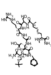 CN[C@@H](CSSC[C@H](C)C(=O)NC(CO)C(=O)N[C@@H](CCCNC(=N)N)C(=O)NCC(=O)N[C@@H](CC(=O)O)C(=O)C(=O)[C@H](Cc1ccccc1)NN[C@@H](CSC(C)(C)C)C(N)=O)C(N)=O